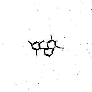 Cc1cc(C)c(-c2cccc3c(O)cc(C)nc23)c(C)c1